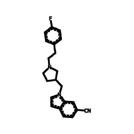 N#Cc1ccc2ccn(CC3CCN(CCc4ccc(F)cc4)C3)c2c1